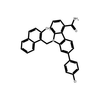 Cc1ccc2ccccc2c1Cn1c2cc(-c3ccc(Cl)cc3)c[c]c2c2c(C(N)=O)cccc21